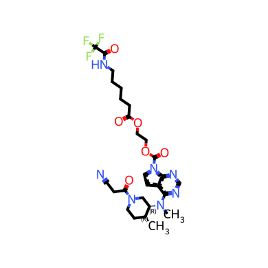 C[C@@H]1CCN(C(=O)CC#N)C[C@@H]1N(C)c1ncnc2c1ccn2C(=O)OCCOC(=O)CCCCCNC(=O)C(F)(F)F